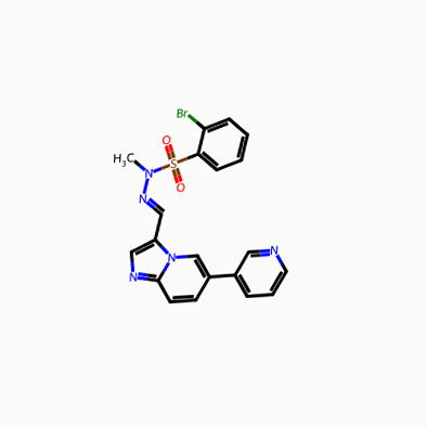 CN(N=Cc1cnc2ccc(-c3cccnc3)cn12)S(=O)(=O)c1ccccc1Br